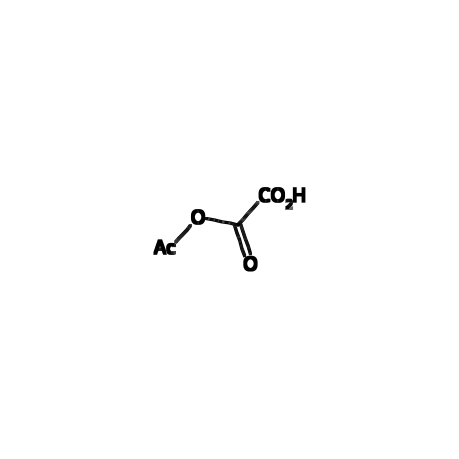 CC(=O)OC(=O)C(=O)O